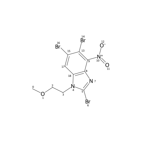 COCCn1c(Br)nc2c([N+](=O)[O-])c(Br)c(Br)cc21